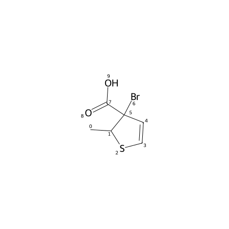 CC1SC=CC1(Br)C(=O)O